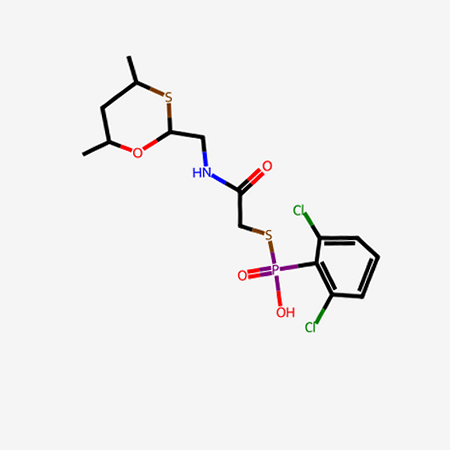 CC1CC(C)SC(CNC(=O)CSP(=O)(O)c2c(Cl)cccc2Cl)O1